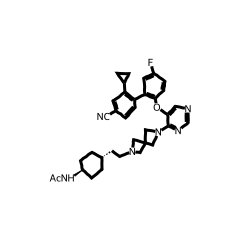 CC(=O)N[C@H]1CC[C@H](CCN2CC3(C2)CN(c2ncncc2Oc2ccc(F)cc2-c2ccc(C#N)cc2C2CC2)C3)CC1